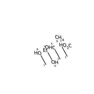 C.CC(=O)O.CC=O.CCO.CO